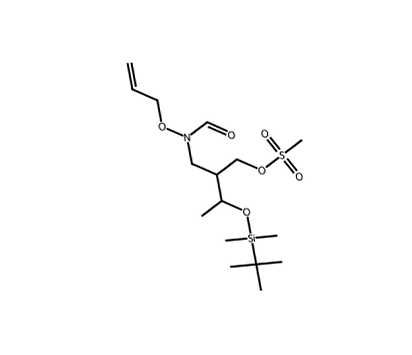 C=CCON(C=O)CC(COS(C)(=O)=O)C(C)O[Si](C)(C)C(C)(C)C